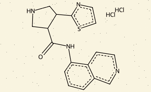 Cl.Cl.O=C(Nc1cccc2cnccc12)C1CNCC1c1nccs1